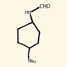 CC(C)(C)C1CCC(NC=O)CC1